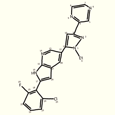 CCn1nc(-c2cnccn2)cc1-c1cnc2[nH]c(-c3c(F)cccc3Cl)cc2c1